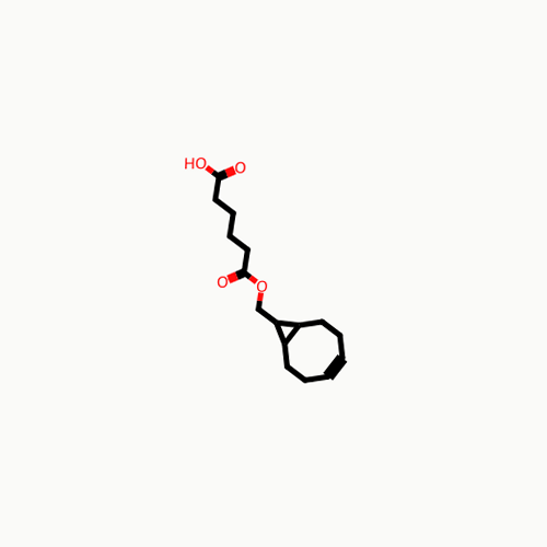 O=C(O)CCCCC(=O)OCC1C2CCC#CCCC21